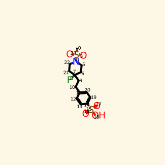 CS(=O)(=O)N1CCC(F)(CCc2ccc(S(=O)(=O)O)cc2)CC1